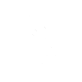 O=C(NC1C2CC3CC(C2)CC1C3)Oc1cnn(-c2ccccc2)c1N1CCOCC1